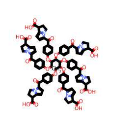 CC(Oc1ccc(C(=O)c2ccc3n2CCC3C(=O)O)cc1)C(Oc1ccc(C(=O)c2ccc3n2CCC3C(=O)O)cc1)C(Oc1ccc(C(=O)c2ccc3n2CCC3C(=O)O)cc1)C(Oc1ccc(C(=O)c2ccc3n2CCC3C(=O)O)cc1)C(COc1ccc(C(=O)c2ccc3n2CCC3C(=O)O)cc1)Oc1ccc(C(=O)c2ccc3n2CCC3C(=O)O)cc1